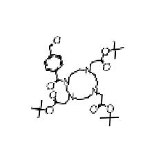 CC(C)(C)OC(=O)CN1CCN(CC(=O)OC(C)(C)C)CCN(C(=O)c2ccc(C=O)cc2)CN(CC(=O)OC(C)(C)C)CC1